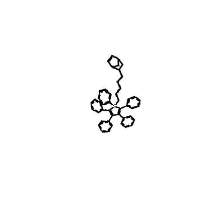 C1=CC2CC1CC2CCCCCS1(c2ccccc2)C(c2ccccc2)=C(c2ccccc2)C(c2ccccc2)=C1c1ccccc1